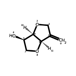 C=C1CO[C@@H]2[C@H](O)CO[C@H]12